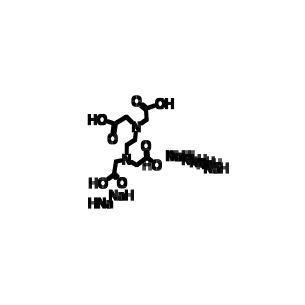 O=C(O)CN(CCN(CC(=O)O)CC(=O)O)CC(=O)O.[NaH].[NaH].[NaH].[NaH].[NaH].[NaH].[NaH].[NaH]